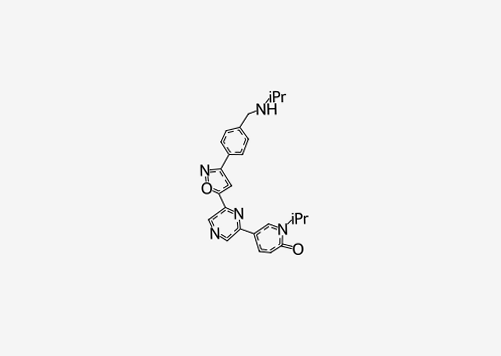 CC(C)NCc1ccc(-c2cc(-c3cncc(-c4ccc(=O)n(C(C)C)c4)n3)on2)cc1